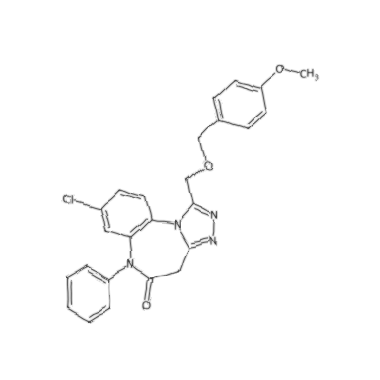 COc1ccc(COCc2nnc3n2-c2ccc(Cl)cc2N(c2ccccc2)C(=O)C3)cc1